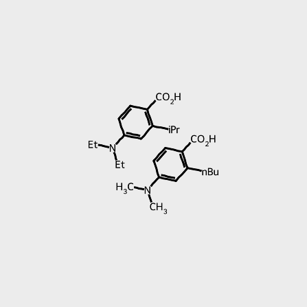 CCCCc1cc(N(C)C)ccc1C(=O)O.CCN(CC)c1ccc(C(=O)O)c(C(C)C)c1